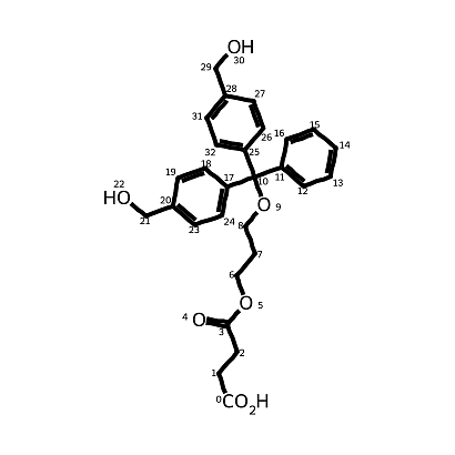 O=C(O)CCC(=O)OCCCOC(c1ccccc1)(c1ccc(CO)cc1)c1ccc(CO)cc1